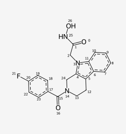 O=C(Cn1c2c(c3ccccc31)CCN(C(=O)c1ccc(F)cc1)C2)NO